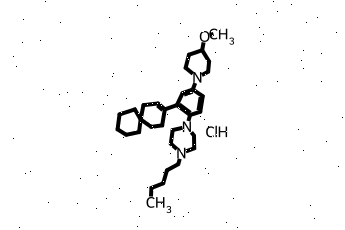 CCCCCN1CCN(c2ccc(N3CCC(OC)CC3)cc2C2=CCC3(CCCCC3)CC2)CC1.Cl